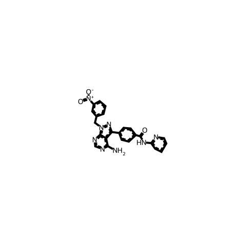 Nc1ncnc2c1c(-c1ccc(C(=O)Nc3ccccn3)cc1)nn2Cc1cccc([N+](=O)[O-])c1